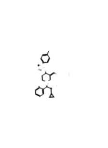 Cc1ccc(S(=O)(=O)SC2CCN(C(C(=O)C3CC3)c3ccccc3F)C/C2=C\C(=O)O)cc1